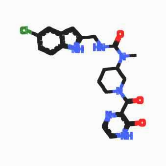 CN(C(=O)NCc1cc2cc(Cl)ccc2[nH]1)C1CCCN(C(=O)c2ncc[nH]c2=O)C1